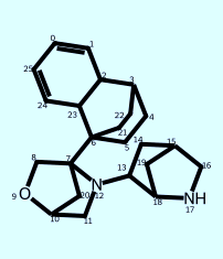 C1=CC2C3CCC(C45COC(CN4C4CC6CNC4C6)C5)(CC3)C2C=C1